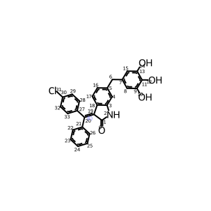 O=C1Nc2cc(Cc3cc(O)c(O)c(O)c3)ccc2/C1=C(/c1ccccc1)c1ccc(Cl)cc1